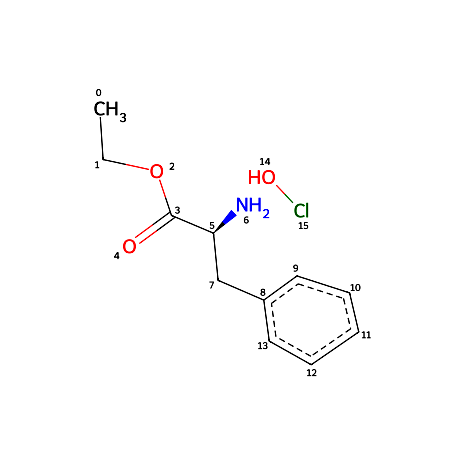 CCOC(=O)[C@@H](N)Cc1ccccc1.OCl